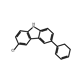 Clc1ccc2[nH]c3ccc(C4=CC=CCC4)cc3c2c1